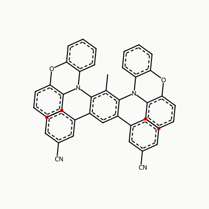 Cc1c(N2c3ccccc3Oc3ccccc32)c(-c2cccc(C#N)c2)cc(-c2cccc(C#N)c2)c1N1c2ccccc2Oc2ccccc21